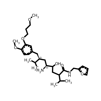 COCCCOc1cc(C[C@@H](C[C@H](N)C(O)CC(C(=O)NCc2ccco2)C(C)C)C(C)C)ccc1OC